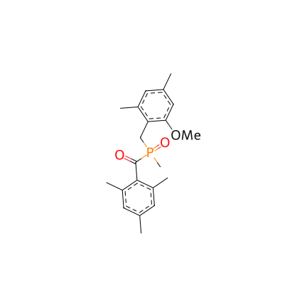 COc1cc(C)cc(C)c1CP(C)(=O)C(=O)c1c(C)cc(C)cc1C